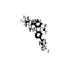 [2H]C([2H])([2H])NC(=O)c1nnccc1Nc1ccc(-c2ncn(C(F)(F)F)n2)cc1OC(F)F